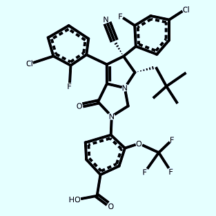 CC(C)(C)C[C@@H]1N2CN(c3ccc(C(=O)O)cc3OC(F)(F)F)C(=O)C2=C(c2cccc(Cl)c2F)[C@@]1(C#N)c1ccc(Cl)cc1F